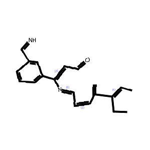 C=C(\C=C/C=N/C(=C\C=O)c1cccc(C=N)c1)/C(=C/C)CC